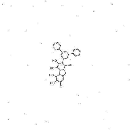 Oc1c(Cl)cc2c(c1O)-c1c(O)c(O)c(-c3cc(-c4ccccc4)cc(-c4ccccc4)c3)c(O)c1C2